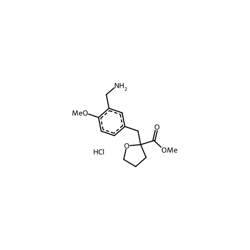 COC(=O)C1(Cc2ccc(OC)c(CN)c2)CCCO1.Cl